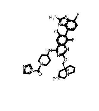 Nc1nc2c(-c3c(Cl)cc4c(NC5CCN(C(=O)n6ccnc6)CC5)nc(OC[C@@]56CCCN5C[C@H](F)C6)nc4c3F)ccc(F)c2s1